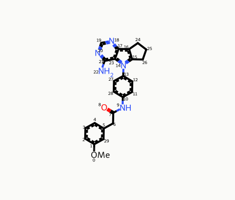 COc1cccc(CC(=O)Nc2ccc(-n3c4c(c5ncnc(N)c53)CCC4)cc2)c1